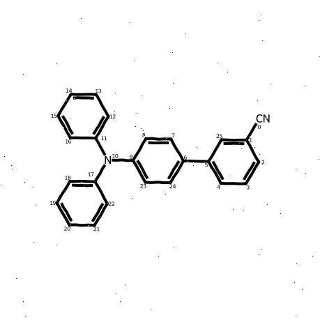 N#Cc1cccc(-c2ccc(N(c3ccccc3)c3ccccc3)cc2)c1